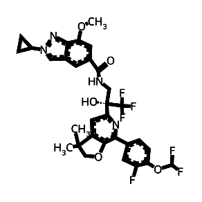 COc1cc(C(=O)NC[C@](O)(c2cc3c(c(-c4ccc(OC(F)F)c(F)c4)n2)OCC3(C)C)C(F)(F)F)cc2cn(C3CC3)nc12